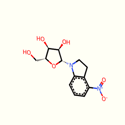 O=[N+]([O-])c1cccc2c1CCN2[C@@H]1O[C@H](CO)[C@@H](O)[C@H]1O